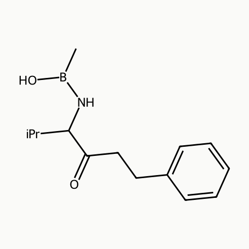 CB(O)NC(C(=O)CCc1ccccc1)C(C)C